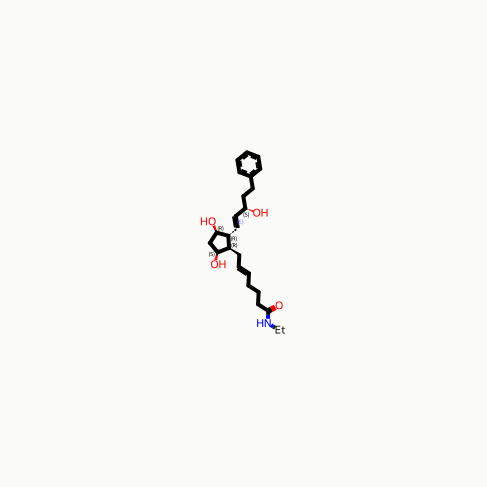 CCNC(=O)CCCC=CC[C@@H]1[C@@H](/C=C/[C@@H](O)CCc2ccccc2)[C@H](O)C[C@@H]1O